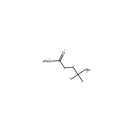 CCCCCC(=O)CCC(C)(C)CCCC